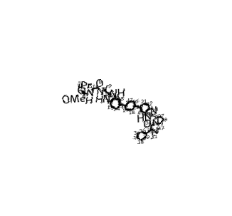 COC(=O)N[C@H](C(=O)N[C@@H](C)c1nc2ccc(-c3ccc(-c4ccc5nc([C@@H]6CCCN6C(=O)[C@@H](c6ccccc6)N(C)C)[nH]c5c4)cc3)cc2[nH]1)C(C)C